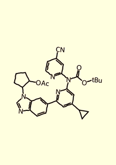 CC(=O)OC1CCCC1n1cnc2ccc(-c3cc(C4CC4)cc(N(C(=O)OC(C)(C)C)c4cc(C#N)ccn4)n3)cc21